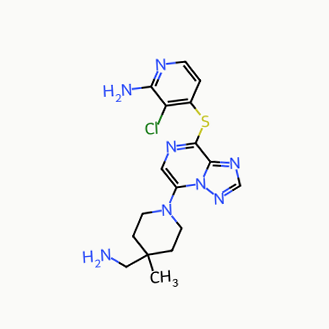 CC1(CN)CCN(c2cnc(Sc3ccnc(N)c3Cl)c3ncnn23)CC1